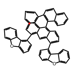 c1ccc(-c2ccc3ccccc3c2-c2c3cccc(-c4cccc5oc6ccccc6c45)c3cc3c(-c4cccc5oc6ccccc6c45)cccc23)cc1